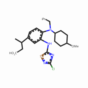 COC1CCC(N(CC(C)C)c2ccc(C(C)CC(=O)O)cc2Nc2nc(Cl)ns2)CC1